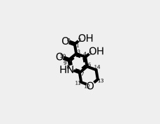 O=C(O)c1c(O)c2c([nH]c1=O)COCC2